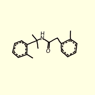 Cc1ccccc1CC(=O)NC(C)(C)c1ccccc1C